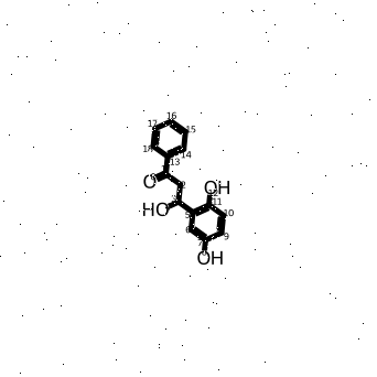 O=C(CC(O)c1cc(O)ccc1O)c1ccccc1